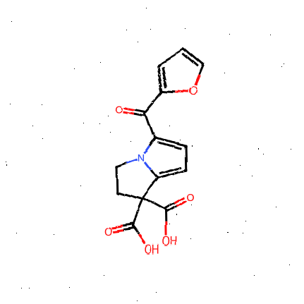 O=C(c1ccco1)c1ccc2n1CCC2(C(=O)O)C(=O)O